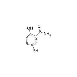 NC(=O)c1cc(S)ccc1O